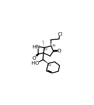 C[C@@]12NC(=O)C1(C(O)[C@@H]1C=CCCC1)CC(=O)[C@@H]2CCCl